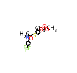 COC(=O)COc1ccc(SCc2oc(-c3ccc(C(F)(F)F)cc3)nc2C)cc1C